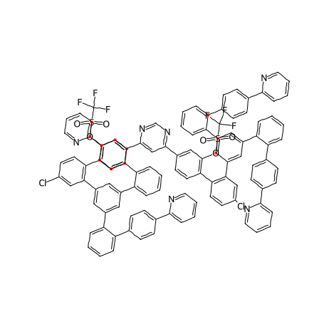 O=S(=O)(Oc1cc(-c2cc(-c3ccc(-c4ccc(Cl)cc4-c4cc(-c5ccccc5-c5ccc(-c6ccccn6)cc5)cc(-c5ccccc5-c5ccc(-c6ccccn6)cc5)c4)c(OS(=O)(=O)C(F)(F)F)c3)ncn2)ccc1-c1ccc(Cl)cc1-c1cc(-c2ccccc2-c2ccc(-c3ccccn3)cc2)cc(-c2ccccc2-c2ccc(-c3ccccn3)cc2)c1)C(F)(F)F